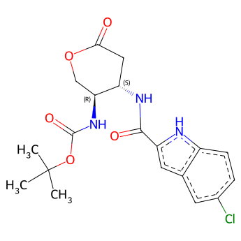 CC(C)(C)OC(=O)N[C@H]1COC(=O)C[C@@H]1NC(=O)c1cc2cc(Cl)ccc2[nH]1